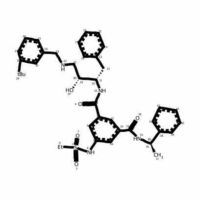 CCS(=O)(=O)Nc1cc(C(=O)N[C@@H](Cc2ccccc2)[C@H](O)CNCc2cccc(C(C)(C)C)c2)cc(C(=O)N[C@H](C)c2ccccc2)c1